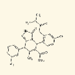 COC(=O)C1=C(C)N(c2cccc(C(F)(F)F)c2)c2n[nH]c(=O)n2C1c1ccc(C#N)cc1CC(=O)N(C)C